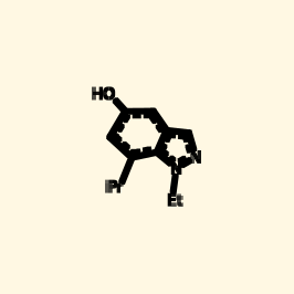 CCn1ncc2cc(O)cc(C(C)C)c21